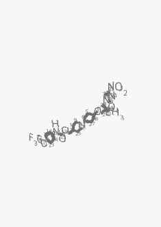 CC1(COc2ccc(N3CCC(COC(=O)Nc4ccc(OC(F)(F)F)cc4)CC3)cc2)Cn2cc([N+](=O)[O-])nc2O1